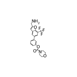 NCc1cc2cc(-c3cccc(OC(=O)N4CCOCC4)c3)cc(C(F)(F)F)c2o1